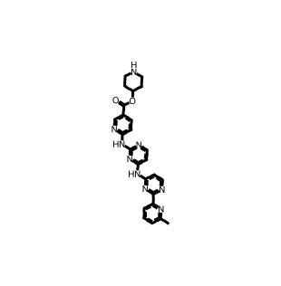 Cc1cccc(-c2nccc(Nc3ccnc(Nc4ccc(C(=O)OC5CCNCC5)cn4)n3)n2)n1